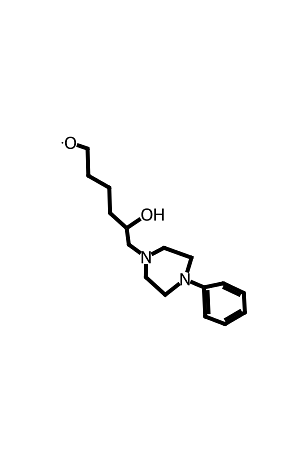 [O]CCCCC(O)CN1CCN(c2ccccc2)CC1